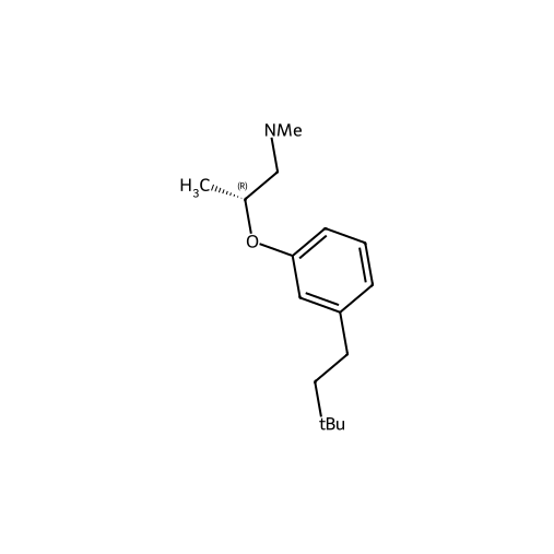 CNC[C@@H](C)Oc1cccc(CCC(C)(C)C)c1